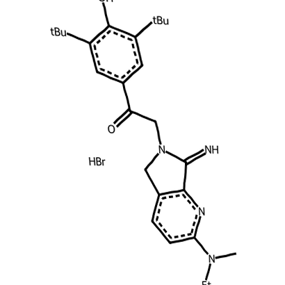 Br.CCN(C)c1ccc2c(n1)C(=N)N(CC(=O)c1cc(C(C)(C)C)c(O)c(C(C)(C)C)c1)C2